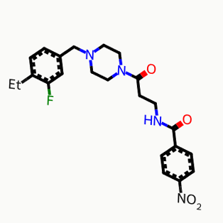 CCc1ccc(CN2CCN(C(=O)CCNC(=O)c3ccc([N+](=O)[O-])cc3)CC2)cc1F